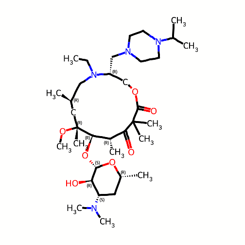 CCN1C[C@H](C)C[C@@](C)(OC)[C@H](O[C@@H]2O[C@H](C)C[C@H](N(C)C)[C@H]2O)[C@@H](C)C(=O)C(C)(C)C(=O)OC[C@H]1CN1CCN(C(C)C)CC1